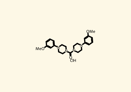 COc1cccc(N2CCN(C(=O)N3CCN(c4cccc(OC)c4)CC3)CC2)c1.Cl